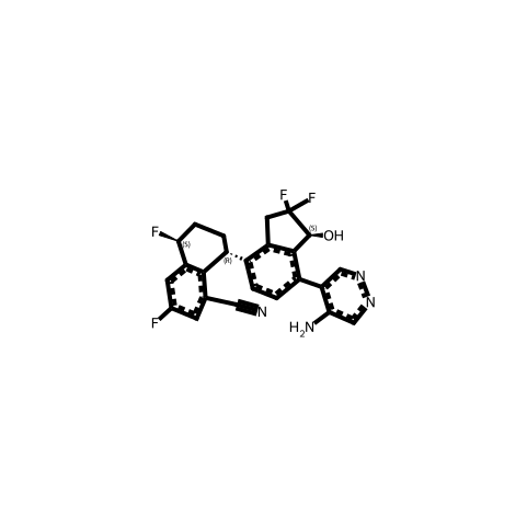 N#Cc1cc(F)cc2c1[C@@H](c1ccc(-c3cnncc3N)c3c1CC(F)(F)[C@H]3O)CC[C@@H]2F